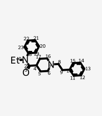 CCN(C(=O)C1CCN(CCc2ccccc2)CC1)c1ccccc1